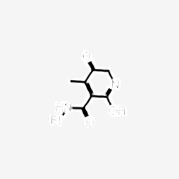 CCNC(=O)C1=C(C)C(=O)CN=C1O